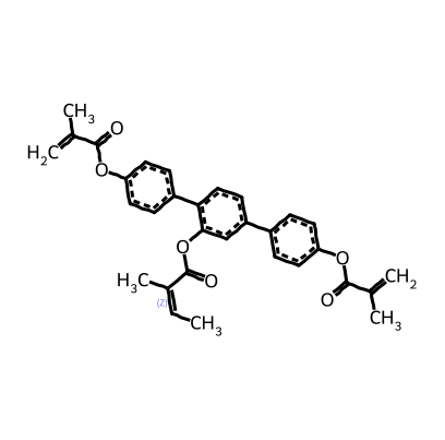 C=C(C)C(=O)Oc1ccc(-c2ccc(-c3ccc(OC(=O)C(=C)C)cc3)c(OC(=O)/C(C)=C\C)c2)cc1